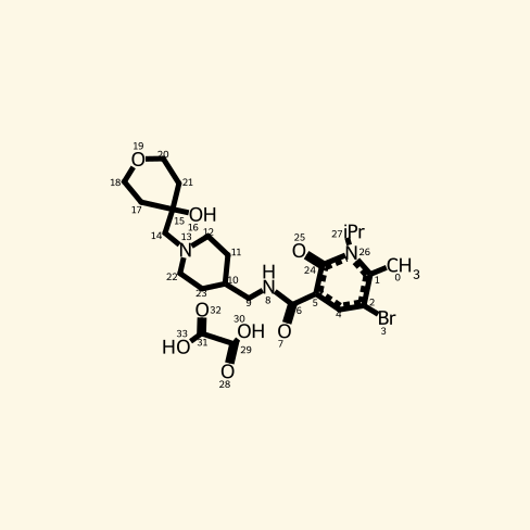 Cc1c(Br)cc(C(=O)NCC2CCN(CC3(O)CCOCC3)CC2)c(=O)n1C(C)C.O=C(O)C(=O)O